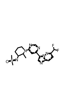 CC1C(N=S(C)(C)=O)CCCN1c1cc(-c2cnc3ccc(C(F)F)nn23)ncn1